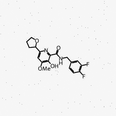 COc1cc(C2CCCO2)nc(C(=O)NCc2ccc(F)c(F)c2)c1O